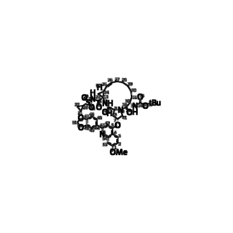 COc1ccc2c(O[C@@H]3C[C@H]4C(=O)N[C@]5(C(=O)NS(=O)(=O)C6CC6)C[C@H]5/C=C\CCCCC[C@H](NC(=O)OC(C)(C)C)C(=O)N4C3)cc(-c3ccc4c(c3)OCO4)nc2c1